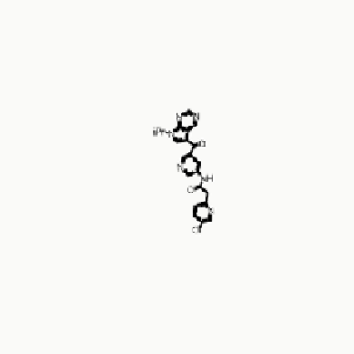 CC(C)n1cc(C(=O)c2cncc(NC(=O)Cc3ccc(Cl)cn3)c2)c2cncnc21